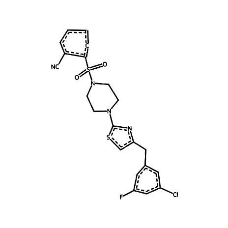 N#Cc1ccccc1S(=O)(=O)N1CCN(c2nc(Cc3cc(F)cc(Cl)c3)cs2)CC1